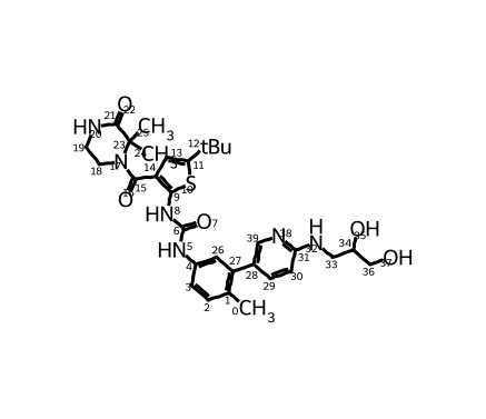 Cc1ccc(NC(=O)Nc2sc(C(C)(C)C)cc2C(=O)N2CCNC(=O)C2(C)C)cc1-c1ccc(NCC(O)CO)nc1